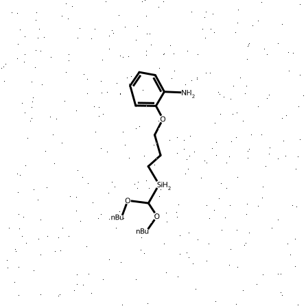 CCCCOC(OCCCC)[SiH2]CCCOc1ccccc1N